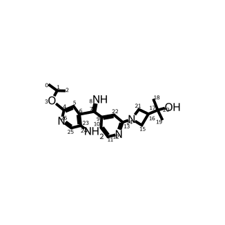 CC(C)Oc1cc(C(=N)c2ccnc(N3CC(C(C)(C)O)C3)c2)c(N)cn1